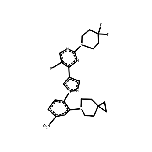 O=[N+]([O-])c1ccc(-n2cc(-c3nc(N4CCC(F)(F)CC4)ncc3F)cn2)c(N2CCC3(CC2)CC3)c1